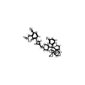 COC(=O)N[C@H]1CCC[C@@H]1[C@](CN1CCOCC1)(c1cccc(F)c1)C1CCN(CC2CN(c3ccc(C#N)c(CN(C)C)c3F)C2)CC1